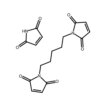 O=C1C=CC(=O)N1.O=C1C=CC(=O)N1CCCCCN1C(=O)C=CC1=O